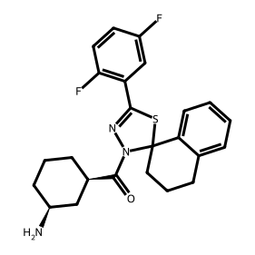 N[C@H]1CCC[C@@H](C(=O)N2N=C(c3cc(F)ccc3F)SC23CCCc2ccccc23)C1